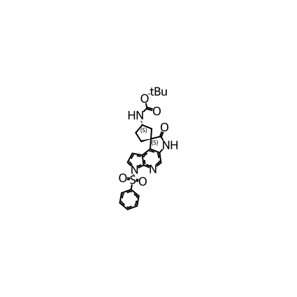 CC(C)(C)OC(=O)N[C@H]1CC[C@@]2(C1)C(=O)Nc1cnc3c(ccn3S(=O)(=O)c3ccccc3)c12